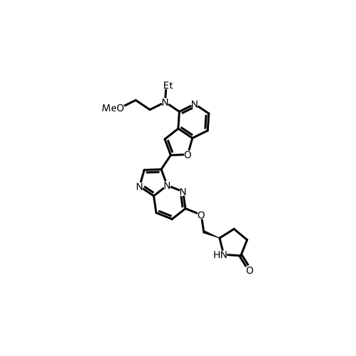 CCN(CCOC)c1nccc2oc(-c3cnc4ccc(OC[C@H]5CCC(=O)N5)nn34)cc12